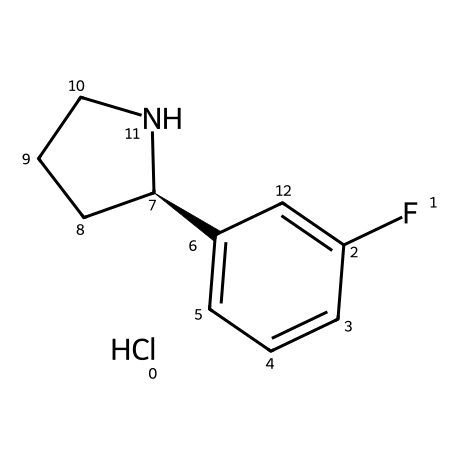 Cl.Fc1cccc([C@H]2CCCN2)c1